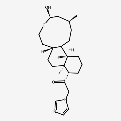 C[C@H]1CC[C@@H]2[C@@H](CCC[C@@H](O)C1)CC[C@]1(C)[C@@H](C(=O)Cn3ccnc3)CCC[C@@H]21